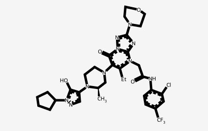 CCc1c(N2CCN(c3cnn(C4CCCC4)c3O)[C@H](C)C2)c(=O)n2nc(N3CCOCC3)nc2n1CC(=O)Nc1ccc(C(F)(F)F)cc1Cl